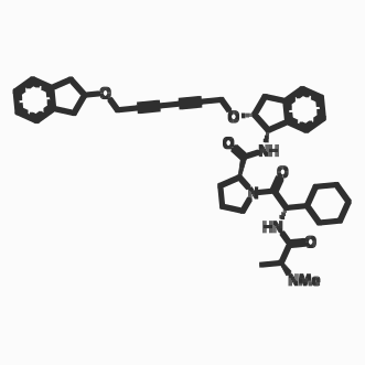 CN[C@@H](C)C(=O)N[C@H](C(=O)N1CCC[C@H]1C(=O)N[C@H]1c2ccccc2C[C@H]1OCC#CC#CCOC1Cc2ccccc2C1)C1CCCCC1